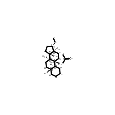 CC(C)=O.CC[C@H]1CC[C@H]2[C@@H]3CC[C@H]4CCCC[C@]4(C)[C@H]3CC[C@]12C